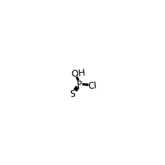 O[P](=S)Cl